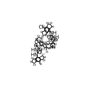 Cc1c2c(c(NC(=O)NS(=O)(=O)c3c(CC4(C)COc5c(S(=O)(=O)NC(=O)Nc6c7c(c(Cl)c8c6CCC8)CCC7)cnn5C4)nn4c3OCCC4)c3c1CCC3)CCC2